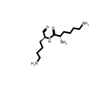 NCCCC[C@@H]([C]=O)NC(=O)[C@@H](N)CCCCN